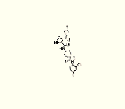 O=C(N[C@H]1CC[C@]2(CCN(c3ccc(F)cc3Cl)C2=O)CC1)c1[nH]cnc1C(=O)N1CC(F)C1